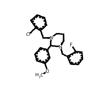 COc1cccc(C2N(Cc3ccccc3F)CCCN2Cc2ccccc2Cl)c1